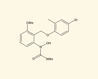 CCc1ccc(OCc2c(OC)cccc2N(O)C(=O)NC)c(C)c1